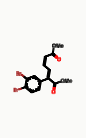 COC(=O)/C=C\C=C(\C(=O)OC)c1ccc(Br)c(Br)c1